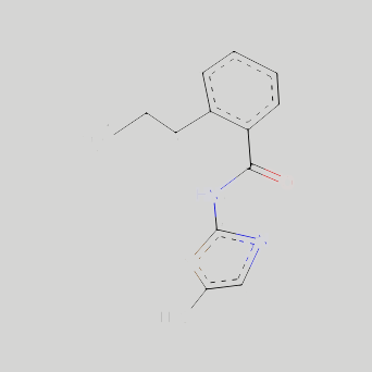 Cc1cnc(NC(=O)c2ccccc2CCC(=O)O)s1